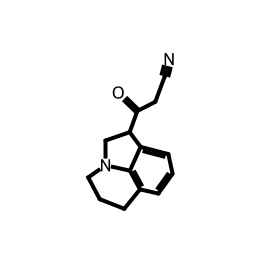 N#CCC(=O)C1CN2CCCc3cccc1c32